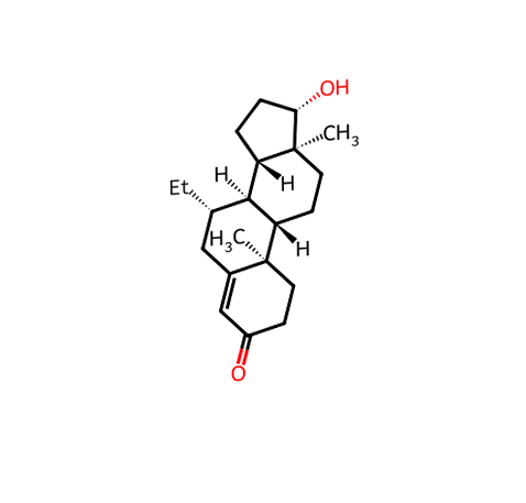 CC[C@H]1CC2=CC(=O)CC[C@]2(C)[C@H]2CC[C@]3(C)[C@@H](O)CC[C@H]3[C@H]12